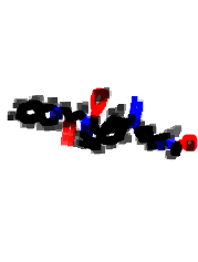 CC(=O)N1CC2(CC(Nc3ccc4c(c3)C(=O)N(C[C@H](O)CN3CCc5ccccc5C3)CC43CC3)C2)C1